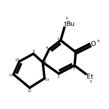 CCC1=CC2(C=C(C(C)(C)C)C1=O)CC=CCC2